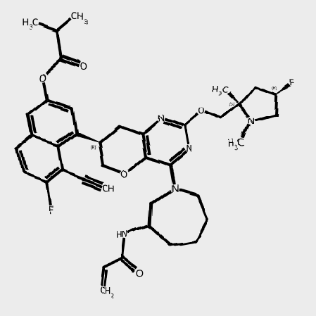 C#Cc1c(F)ccc2cc(OC(=O)C(C)C)cc([C@@H]3COc4c(nc(OC[C@]5(C)C[C@@H](F)CN5C)nc4N4CCCCC(NC(=O)C=C)C4)C3)c12